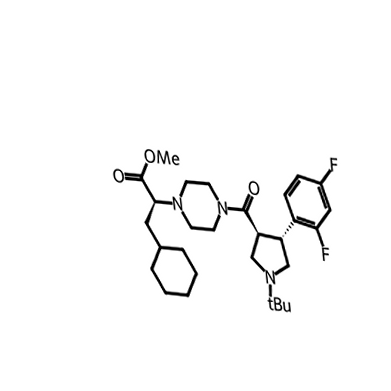 COC(=O)[C@H](CC1CCCCC1)N1CCN(C(=O)[C@@H]2CN(C(C)(C)C)C[C@H]2c2ccc(F)cc2F)CC1